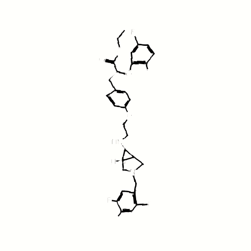 CCOC(=O)[C@H](Cc1ccc(OCCN[C@H]2C3CN(Cc4cc(F)c(F)cc4F)C[C@@H]32)cc1)Oc1cc(F)ccc1F